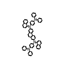 c1ccc(N(c2ccccc2)c2ccc(N(c3ccc4c(ccc5cc(N(c6ccc(N(c7ccccc7)c7ccccc7)cc6)c6cccc7ccccc67)ccc54)c3)c3cccc4ccccc34)cc2)cc1